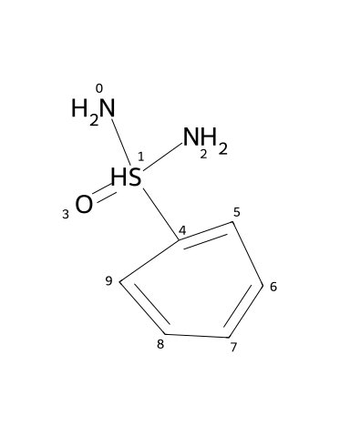 N[SH](N)(=O)c1ccccc1